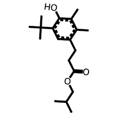 Cc1c(CCC(=O)OCC(C)C)cc(C(C)(C)C)c(O)c1C